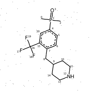 CP(C)(=O)c1ccc(CC2CCNCC2)c(C(F)(F)F)c1